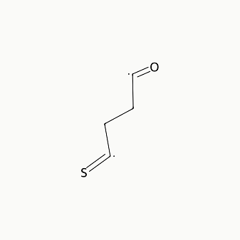 O=[C]CC[C]=S